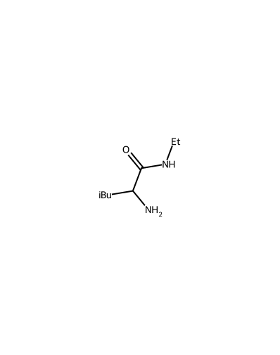 CCNC(=O)C(N)C(C)CC